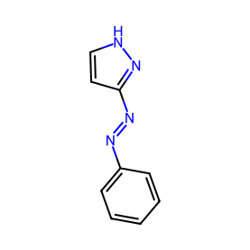 c1ccc(N=Nc2cc[nH]n2)cc1